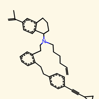 C=CCCCCN(CCc1ccccc1CCc1ccc(C#CC2CC2)cc1)C1CCCc2cc(C(=C)C)ccc21